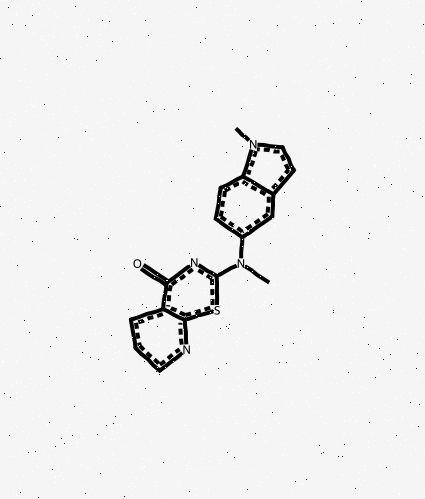 CN(c1ccc2c(ccn2C)c1)c1nc(=O)c2cccnc2s1